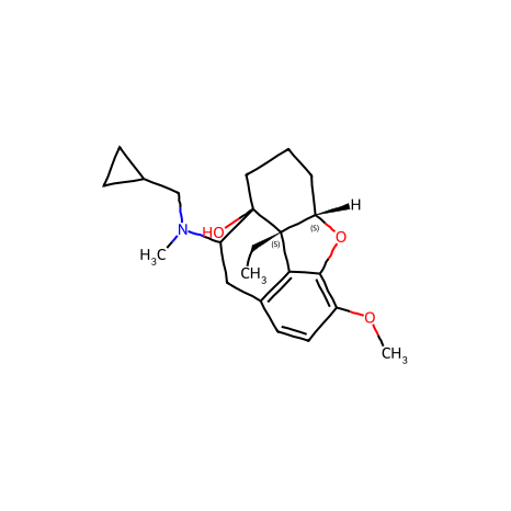 CC[C@]12c3c4ccc(OC)c3O[C@H]1CCCC2(O)C(N(C)CC1CC1)C4